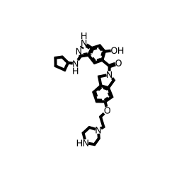 O=C(c1cc2c(NC3CCCC3)n[nH]c2cc1O)N1Cc2ccc(OCCN3CCNCC3)cc2C1